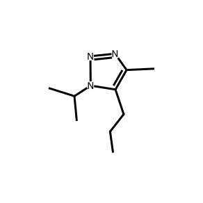 CCCc1c(C)nnn1C(C)C